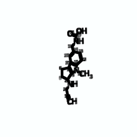 C#CCNC1CCc2c1n(C)c1ccc(CNC(=O)O)cc21